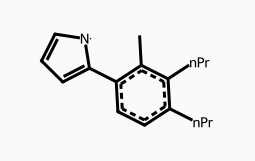 CCCc1ccc(C2=CC=C[N]2)c(C)c1CCC